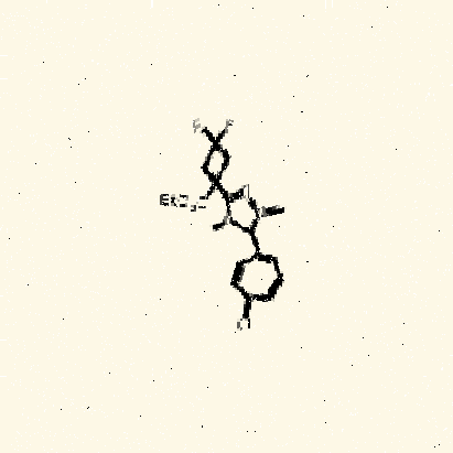 CCOC(=O)C1(C2ON(C)C(C3=CC=CC(Cl)C=C3)N2C)CC(F)(F)C1